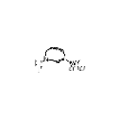 O=CNC1=CN(C(F)(F)F)CC=C1